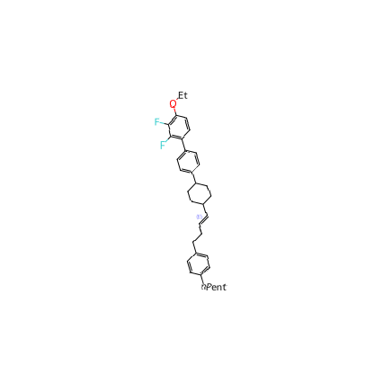 CCCCCc1ccc(CC/C=C/C2CCC(c3ccc(-c4ccc(OCC)c(F)c4F)cc3)CC2)cc1